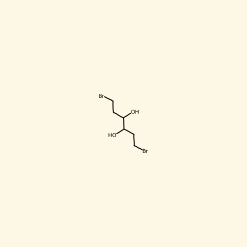 OC(CCBr)C(O)CCBr